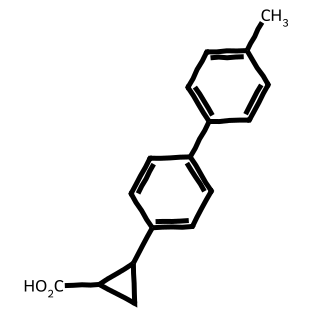 Cc1ccc(-c2ccc(C3CC3C(=O)O)cc2)cc1